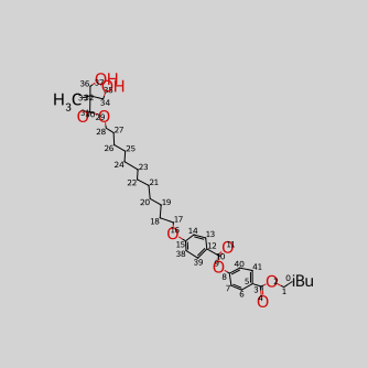 CCC(C)COC(=O)c1ccc(OC(=O)c2ccc(OCCCCCCCCCCCCOC(=O)C(C)(CO)CO)cc2)cc1